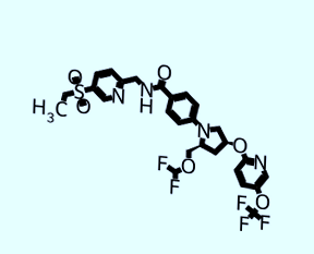 CCS(=O)(=O)c1ccc(CNC(=O)c2ccc(N3C[C@@H](Oc4ccc(OC(F)(F)F)cn4)C[C@H]3COC(F)F)cc2)nc1